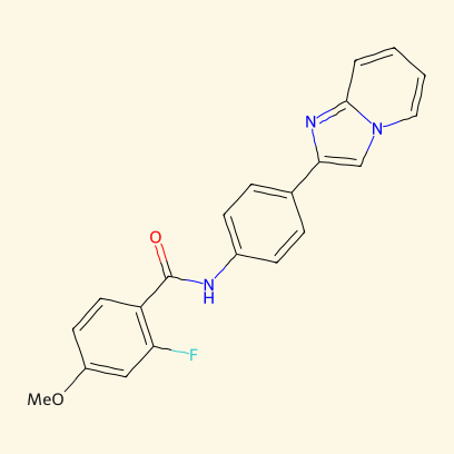 COc1ccc(C(=O)Nc2ccc(-c3cn4ccccc4n3)cc2)c(F)c1